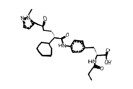 CCC(=O)N[C@H](Cc1ccc(NC(=O)[C@@H](CCC(=O)c2ccnn2C)C2CCCCC2)cc1)C(=O)O